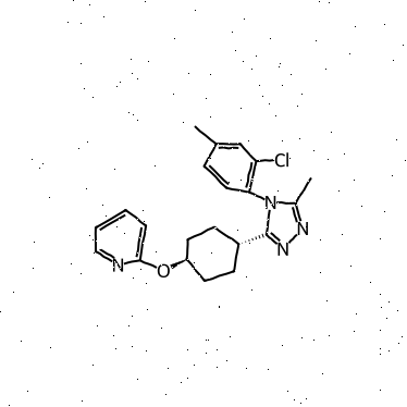 Cc1ccc(-n2c(C)nnc2[C@H]2CC[C@H](Oc3ccccn3)CC2)c(Cl)c1